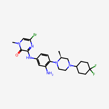 C[C@H]1CN(C2CCC(F)(F)CC2)CCN1c1ccc(Nc2nc(Br)cn(C)c2=O)cc1N